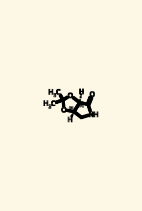 CC1(C)O[C@@H]2CNC(=O)[C@@H]2O1